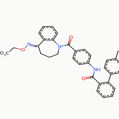 CCOC(=O)CON=C1CCCN(C(=O)c2ccc(NC(=O)c3ccccc3-c3ccc(C)cc3)cc2)c2ccccc21